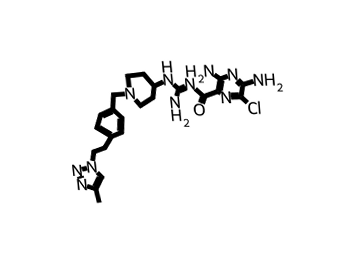 Cc1cn(CCc2ccc(CN3CCC(N/C(N)=N/C(=O)c4nc(Cl)c(N)nc4N)CC3)cc2)nn1